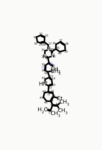 C=C(C)C(=C(C)C)C1=C(CC)C=C(C2=CC=C(C(C)/C=C\C(=C/C)C3=NCN(CC4=CCCC=C4)C(C4CC=CCC4)=N3)CN2)CCC1